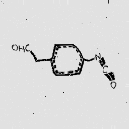 O=C=Nc1ccc(CC=O)cc1